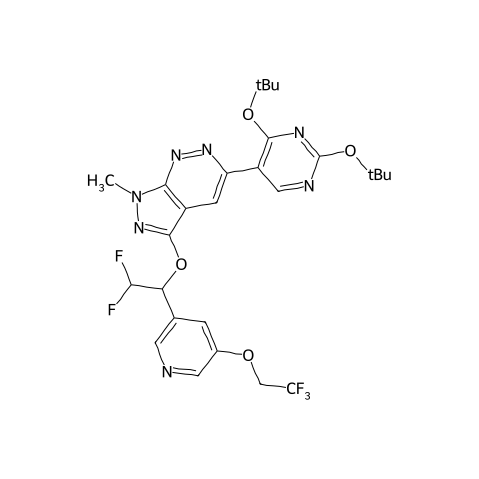 Cn1nc(OC(c2cncc(OCC(F)(F)F)c2)C(F)F)c2cc(-c3cnc(OC(C)(C)C)nc3OC(C)(C)C)nnc21